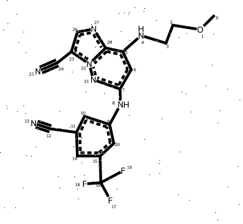 COCCNc1cc(Nc2cc(C#N)cc(C(F)(F)F)c2)nn2c(C#N)cnc12